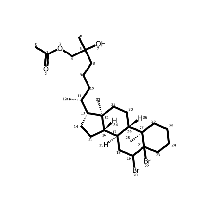 CC(=O)OCC(C)(O)CCC[C@@H](C)[C@H]1CC[C@H]2[C@@H]3CC(Br)C4(Br)CCCC[C@]4(C)[C@H]3CC[C@]12C